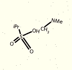 CC(C)S(=O)(=O)O.CNC